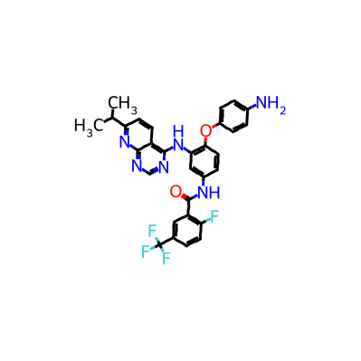 CC(C)c1ccc2c(Nc3cc(NC(=O)c4cc(C(F)(F)F)ccc4F)ccc3Oc3ccc(N)cc3)ncnc2n1